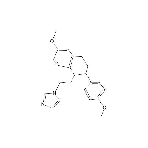 COc1ccc(C2CCc3cc(OC)ccc3C2CCn2ccnc2)cc1